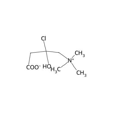 C[N+](C)(C)CC(O)(Cl)CC(=O)[O-]